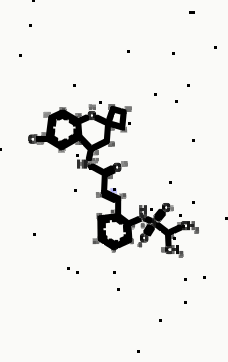 CC(C)S(=O)(=O)Nc1ccccc1/C=C/C(=O)NC1CC2(CCC2)Oc2ccc(Cl)cc21